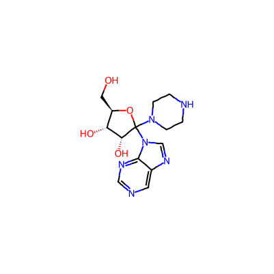 OC[C@H]1OC(N2CCNCC2)(n2cnc3cncnc32)[C@H](O)[C@@H]1O